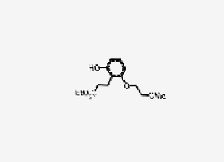 CCOC(=O)CCc1c(O)cccc1OCCOC